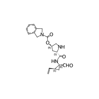 C=C[C@@H]1C[C@@]1(C=O)NC(=O)[C@@H]1C[C@@H](OC(=O)N2Cc3ccccc3C2)CN1